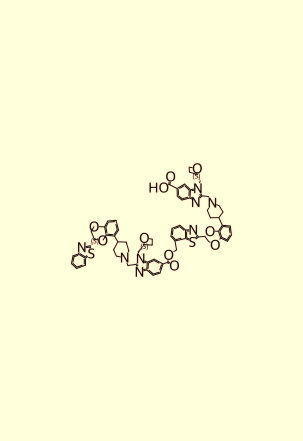 O=C(O)c1ccc2nc(CN3CCC(c4cccc5c4OC(c4nc6cccc(COC(=O)c7ccc8nc(CN9CCC(c%10cccc%11c%10O[C@H](c%10nc%12ccccc%12s%10)CO%11)CC9)n(C[C@@H]9CCO9)c8c7)c6s4)CO5)CC3)n(C[C@@H]3CCO3)c2c1